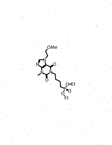 CCOP(=O)(CCCCn1c(=O)c2c(ncn2CCOC)n(C)c1=O)OCC